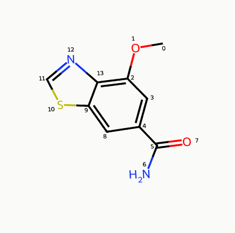 COc1cc(C(N)=O)cc2scnc12